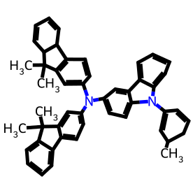 CC1C=C(n2c3ccccc3c3cc(N(c4ccc5c(c4)C(C)(C)c4ccccc4-5)c4ccc5c(c4)C(C)(C)C4C=CC=CC54)ccc32)C=CC1